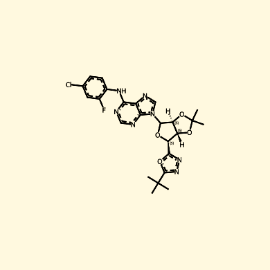 CC1(C)O[C@@H]2[C@@H](c3nnc(C(C)(C)C)o3)OC(n3cnc4c(Nc5ccc(Cl)cc5F)ncnc43)[C@H]2O1